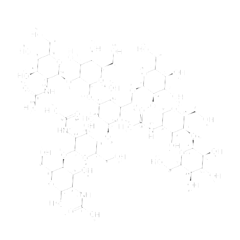 CC(=O)NC1C(C)OC(CO)[C@@H](OC2OC(CO)[C@@H](O[C@@H]3OC(CO[C@H]4OC(CO)[C@@H](O)C(O)[C@H]4O[C@@H]4O[C@@H](CO)[C@@H](O[C@@H]5OC(CO)[C@H](O)C(O)[C@@H]5O)C(O)C4NC(C)=O)[C@@H](O)C(OC4O[C@H](CO)[C@@H](O)C(O)C4O[C@@H]4OC(CO)[C@@H](O)[C@H](O)C4NC(C)=O)[C@H]3O)C(O)C2NC(C)=O)C1O